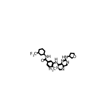 Cc1ccc(C(=O)NC2CCCC(C(F)(F)F)C2)cc1Nc1ncnc2cnc(NC3CCOC3)nc12